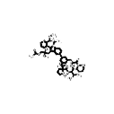 CCn1c(-c2cccnc2[C@H](C)OC)c(CC(C)(C)COC(C)=O)c2cc(-c3cc(O)cc(C[C@H](NC(=O)C(C(C)C)N(C)C(=O)C4(C(F)F)CCCO4)C(=O)N4CCCCN4)c3)ccc21